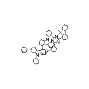 CC1(C)c2ccccc2-c2cccc(-c3nc(-c4cccc(-c5ccccc5)c4)nc(-c4ccccc4-n4c5ccccc5c5c(-c6cccc7c6c6ccc(-c8ccccc8)cc6n7-c6ccccc6)cccc54)n3)c21